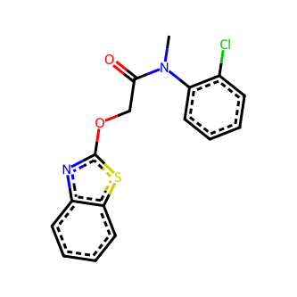 CN(C(=O)COc1nc2ccccc2s1)c1ccccc1Cl